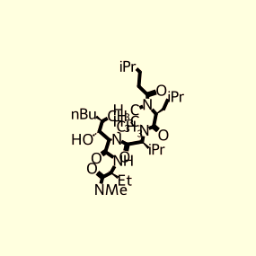 CCCC[C@@H](C)[C@@H](O)[C@@H](C(=O)N[C@@H](CC)C(=O)NC)N(C)C(=O)[C@H](C(C)C)N(C)C(=O)[C@H](CC(C)C)N(C)C(=O)CCC(C)C